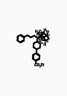 CCOC(=O)c1ccc(C2CCC(N(CCCc3ccccc3)[C@H]3C[C@@H]4C[C@@H]([C@H]3C)C4(C)C)CC2)cc1